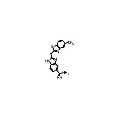 N=C(N)c1ccc2[nH]c(Cc3nc4cc(C(F)(F)F)ccc4[nH]3)nc2c1